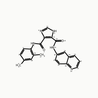 Cc1ccc(NC(=O)c2nc[nH]c2C(=O)Nc2ccc3ncccc3c2)c(C)c1